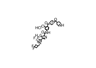 Cl.Cn1c(-c2cn(CC3CC(F)(F)C3)nc2C(F)(F)F)cnc1C(=O)Nc1ccc(C(=O)N2CCN(C(=O)C3CCNCC3)CC2)c(Cl)c1